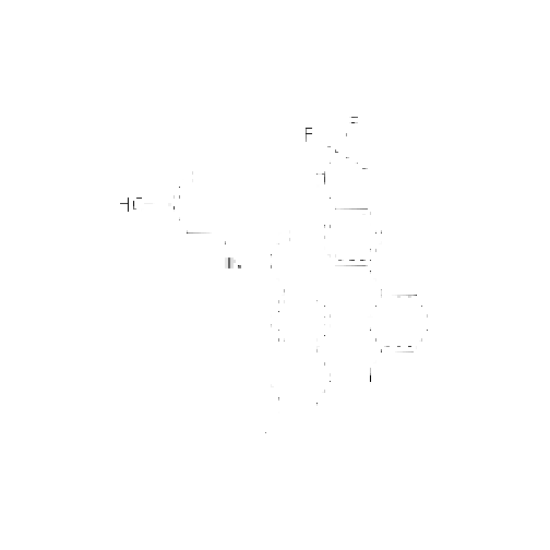 CC(C)CC(Oc1cccc(-c2ccc(OC(F)(F)F)cc2)c1)c1ccc(C(=O)NCCC(=O)O)cc1